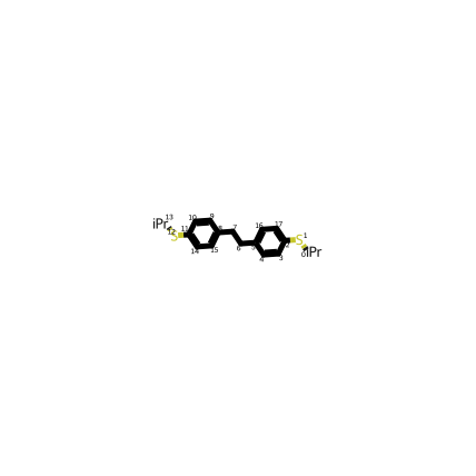 CC(C)Sc1ccc(CCc2ccc(SC(C)C)cc2)cc1